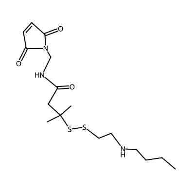 CCCCNCCSSC(C)(C)CC(=O)NCN1C(=O)C=CC1=O